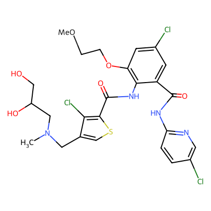 COCCOc1cc(Cl)cc(C(=O)Nc2ccc(Cl)cn2)c1NC(=O)c1scc(CN(C)CC(O)CO)c1Cl